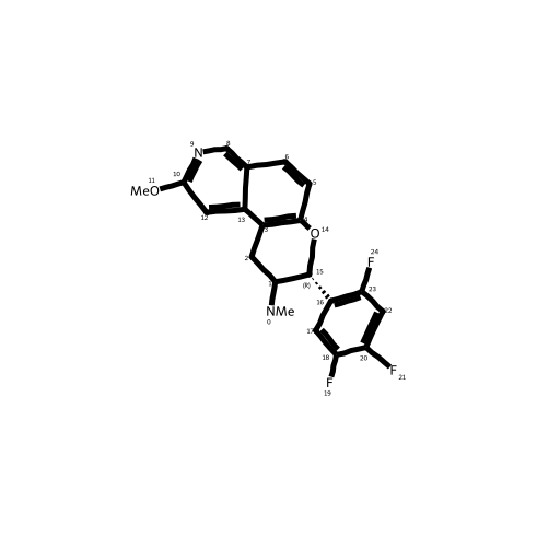 CNC1Cc2c(ccc3cnc(OC)cc23)O[C@@H]1c1cc(F)c(F)cc1F